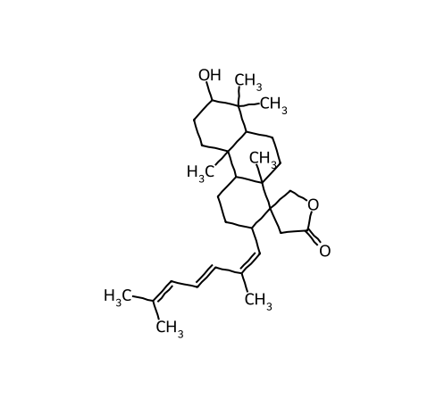 CC(C)=CC=CC(C)=CC1CCC2C3(C)CCC(O)C(C)(C)C3CCC2(C)C12COC(=O)C2